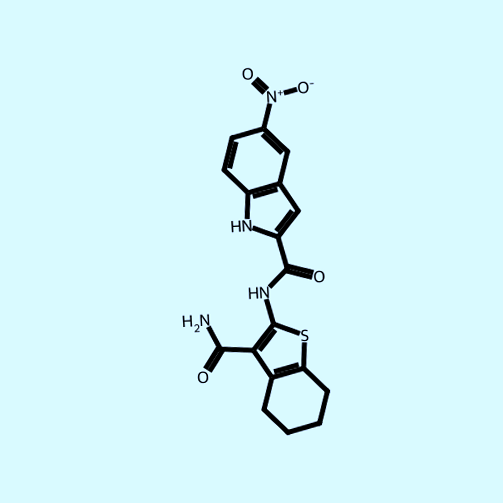 NC(=O)c1c(NC(=O)c2cc3cc([N+](=O)[O-])ccc3[nH]2)sc2c1CCCC2